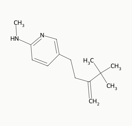 C=C(CCc1ccc(NC)nc1)C(C)(C)C